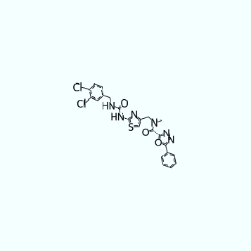 CN(Cc1csc(NC(=O)NCc2ccc(Cl)c(Cl)c2)n1)C(=O)c1nnc(-c2ccccc2)o1